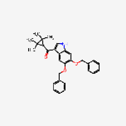 CC1(C)C(C(=O)c2c[nH]c3cc(OCc4ccccc4)c(OCc4ccccc4)cc23)C1(C)C